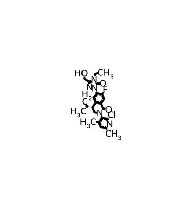 C=C(C)[C@H]1CN(c2c(C)cc(C)nc2Cl)C(=O)c2cc(F)c(-n3nc(CO)n(CC)c3=O)cc21